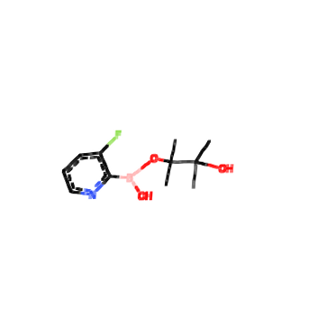 CC(C)(O)C(C)(C)OB(O)c1ncccc1F